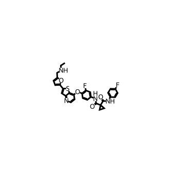 CCNCc1ccc(-c2cc3nccc(Oc4ccc(NC(=O)C5(C(=O)Nc6ccc(F)cc6)CC5)cc4F)c3s2)o1